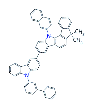 CC1(C)c2ccccc2-c2c1ccc1c3cc(-c4ccc5c(c4)c4ccccc4n5-c4cccc(-c5ccccc5)c4)ccc3n(-c3ccc4ccccc4c3)c21